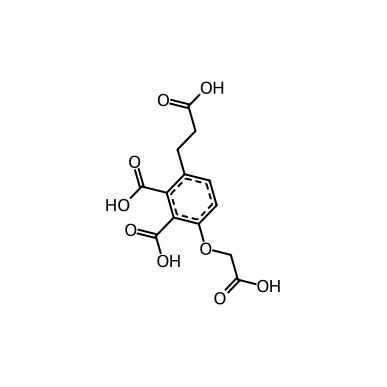 O=C(O)CCc1ccc(OCC(=O)O)c(C(=O)O)c1C(=O)O